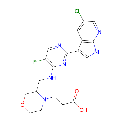 O=C(O)CCN1CCOCC1CNc1nc(-c2c[nH]c3ncc(Cl)cc23)ncc1F